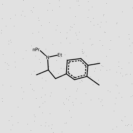 CCCN(CC)C(C)Cc1ccc(C)c(C)c1